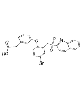 O=C(O)Cc1cccc(Oc2ccc(Br)cc2CS(=O)(=O)c2ccc3ccccc3n2)c1